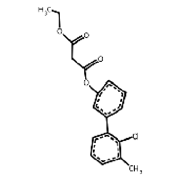 CCOC(=O)CC(=O)Oc1cccc(-c2cccc(C)c2Cl)c1